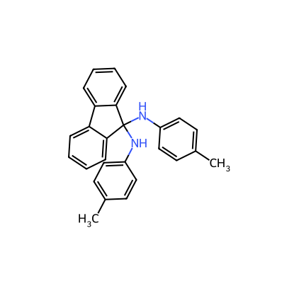 Cc1ccc(NC2(Nc3ccc(C)cc3)c3ccccc3-c3ccccc32)cc1